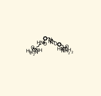 NN[C@@H](CCCCNC(=O)c1cccc(Cn2cc(COc3ccc(C[C@H](NN)C(N)=O)cc3)nn2)c1)C(N)=O